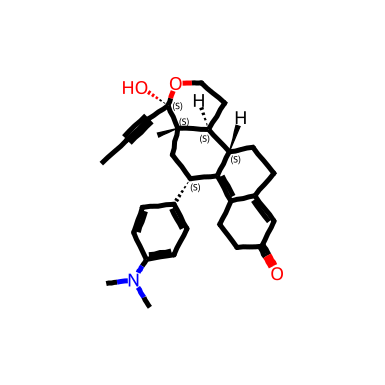 CC#C[C@@]1(O)OCC[C@H]2[C@@H]3CCC4=CC(=O)CCC4=C3[C@H](c3ccc(N(C)C)cc3)C[C@@]21C